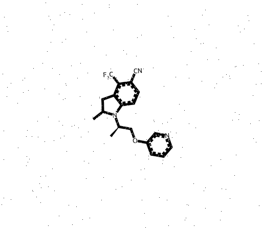 CC1Cc2c(ccc(C#N)c2C(F)(F)F)N1[C@H](C)COc1cccnc1